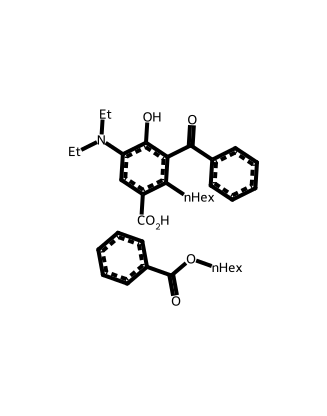 CCCCCCOC(=O)c1ccccc1.CCCCCCc1c(C(=O)O)cc(N(CC)CC)c(O)c1C(=O)c1ccccc1